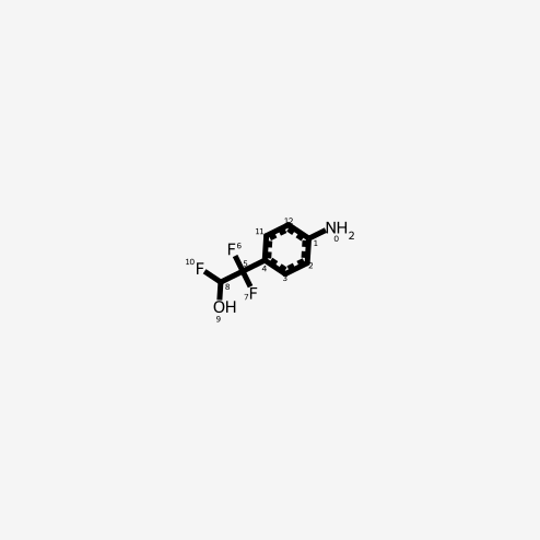 Nc1ccc(C(F)(F)C(O)F)cc1